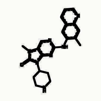 Cc1cc2ncccc2cc1Nc1ncc2c(n1)n(C1CCNCC1)c(=O)n2C